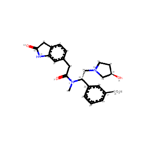 CN(C(=O)Cc1ccc2c(c1)NC(=O)C2)[C@H](CN1CC[C@@H](O)C1)c1cccc(C(=O)O)c1